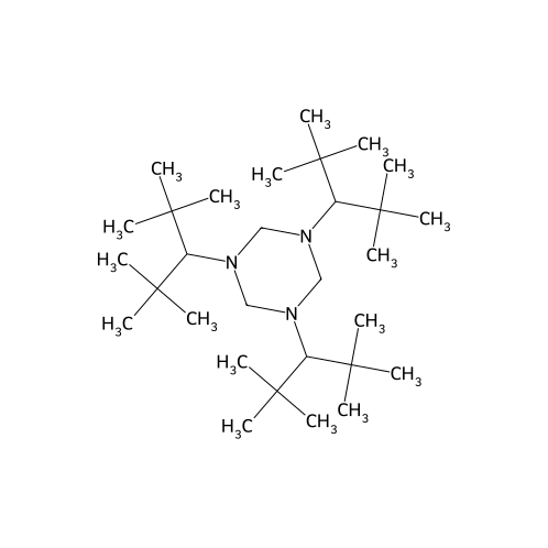 CC(C)(C)C(N1CN(C(C(C)(C)C)C(C)(C)C)CN(C(C(C)(C)C)C(C)(C)C)C1)C(C)(C)C